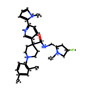 CN1C[C@H](F)C[C@H]1CNC(=O)C1(c2ccc(-c3cccn3C)nc2)CCN(c2ccc(C(F)(F)F)cc2C#N)CC1